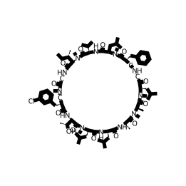 CC[C@H](C)[C@H]1C(=O)NCC(=O)N(C)C[C@@H](Cc2cccc(Cl)c2)C(=O)N[C@@H]([C@@H](C)O)C(=O)N(C)[C@@H](CC(C)C)C(=O)N[C@@H](CC(C)C)C(=O)N[C@@H](C)C(=O)N(C)[C@H](C)C(=O)N(C)[C@@H](CC(C)C)C(=O)CNC[C@@H](Cc2ccccc2)C(=O)N(C)C(CC(C)C)C(=O)N[C@@H](C(C)C)C(=O)N1C